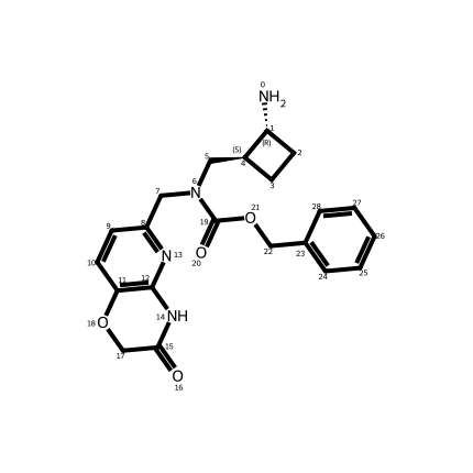 N[C@@H]1CC[C@H]1CN(Cc1ccc2c(n1)NC(=O)CO2)C(=O)OCc1ccccc1